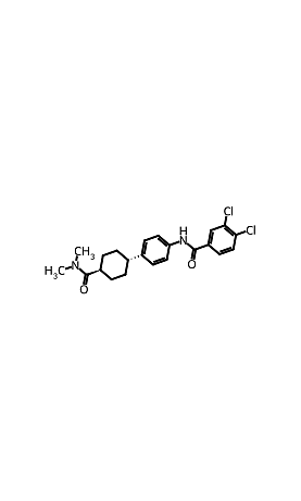 CN(C)C(=O)[C@H]1CC[C@H](c2ccc(NC(=O)c3ccc(Cl)c(Cl)c3)cc2)CC1